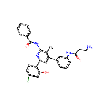 N#Cc1c(-c2cccc(NC(=O)CCN)c2)cc(-c2ccc(Cl)cc2O)nc1NC(=O)c1ccccc1